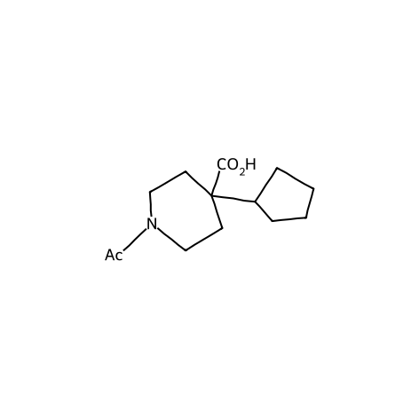 CC(=O)N1CCC(C(=O)O)(C2CCCC2)CC1